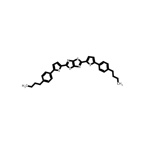 CCCCc1ccc(-c2ccc(-c3nc4sc(-c5ccc(-c6ccc(CCCC)cc6)s5)nc4s3)s2)cc1